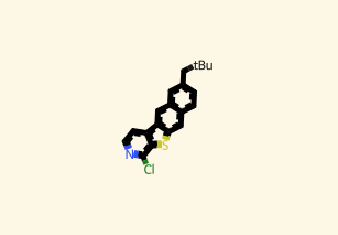 CC(C)(C)Cc1ccc2cc3sc4c(Cl)nccc4c3cc2c1